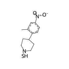 Cc1cc([N+](=O)[O-])ccc1C1CCN(S)CC1